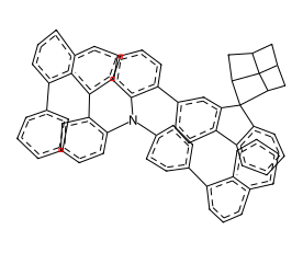 c1ccc(-c2cccc3cccc(-c4ccccc4N(c4ccc(-c5cccc6ccccc56)cc4)c4ccccc4-c4ccc5c(c4)C4(c6ccccc6-5)C5CC6CC7CC4C675)c23)cc1